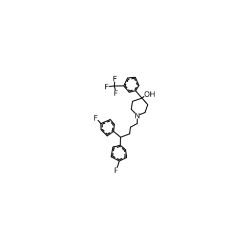 OC1(c2cccc(C(F)(F)F)c2)CCN(CCCC(c2ccc(F)cc2)c2ccc(F)cc2)CC1